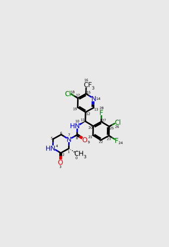 C[C@@H]1C(=O)NCCN1C(=O)N[C@@H](c1cnc(C(F)(F)F)c(Cl)c1)c1ccc(F)c(Cl)c1F